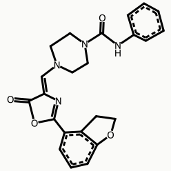 O=C1OC(c2cccc3c2CCO3)=NC1=CN1CCN(C(=O)Nc2ccccc2)CC1